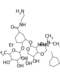 CC[C@@H]1CC(C(=O)NCCN)CC(O[C@@H]2O[C@@H](CO)C(O)C(O[C@@H](CC3CCCCC3)C(=O)N(C)C)C2NC(C)=O)C1OC1OC(C)C(O)C(O)C1O